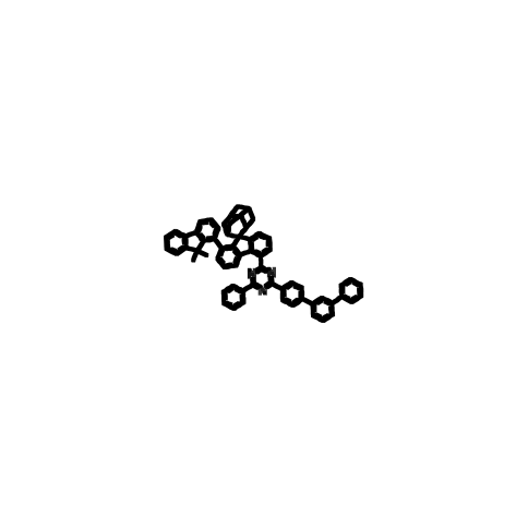 CC1(C)c2ccccc2-c2cccc(-c3cccc4c3C3(c5cccc(-c6nc(-c7ccccc7)nc(-c7ccc(-c8cccc(-c9ccccc9)c8)cc7)n6)c5-4)C4CC5CC(C4)CC3C5)c21